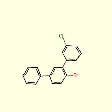 Clc1cccc(-c2cc(-c3ccccc3)ccc2Br)c1